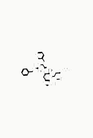 COC(=O)[C@@H](O)[C@H](CC(C)C)NC(=O)C(Cc1c[nH]cn1)NC(=O)[C@H](Cc1cccnc1)NC(=O)OCc1ccccc1